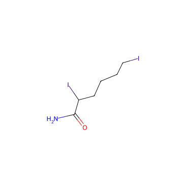 NC(=O)C(I)CCCCI